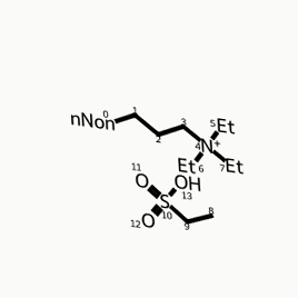 CCCCCCCCCCCC[N+](CC)(CC)CC.CCS(=O)(=O)O